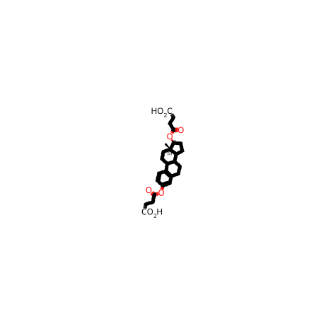 C[C@]12CCC3c4ccc(OC(=O)CCC(=O)O)cc4CCC3C1CC[C@@H]2OC(=O)CCC(=O)O